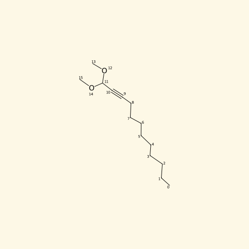 CCCCCCCCCC#CC(OC)OC